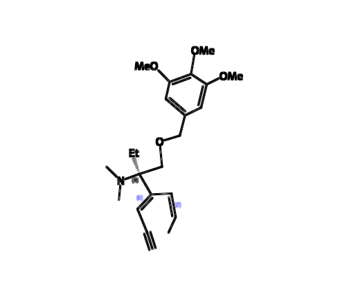 C#C/C=C(\C=C/C)[C@](CC)(COCc1cc(OC)c(OC)c(OC)c1)N(C)C